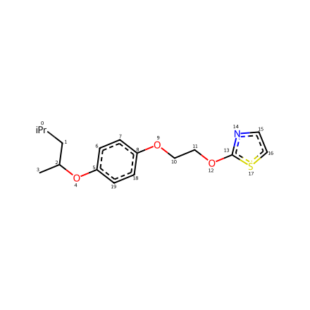 CC(C)CC(C)Oc1ccc(OCCOc2nccs2)cc1